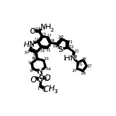 CCS(=O)(=O)N1CCC(c2c[nH]c3c(C(N)=O)cc(-c4ccc(CNC5CCCC5)s4)cc23)CC1